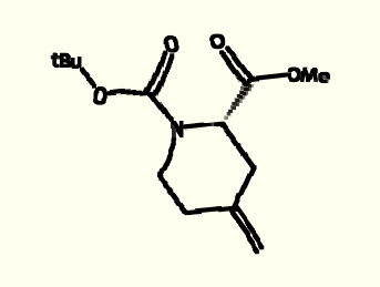 C=C1CCN(C(=O)OC(C)(C)C)[C@H](C(=O)OC)C1